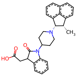 C[C@H]1c2cccc3cccc(c23)[C@H]1N1CCC(N2C(=O)C(CC(=O)O)c3ccccc32)CC1